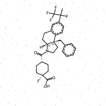 CC(F)(c1ccc2c(c1)CC[C@H]1N(C(=O)[C@H]3CC[C@](F)(C(=O)O)CC3)CC[C@@]21Cc1ccccc1)C(F)(F)F